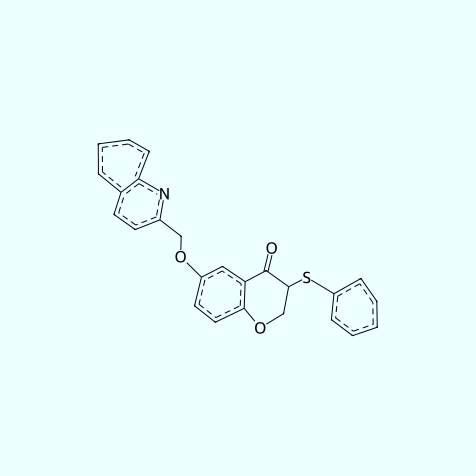 O=C1c2cc(OCc3ccc4ccccc4n3)ccc2OCC1Sc1ccccc1